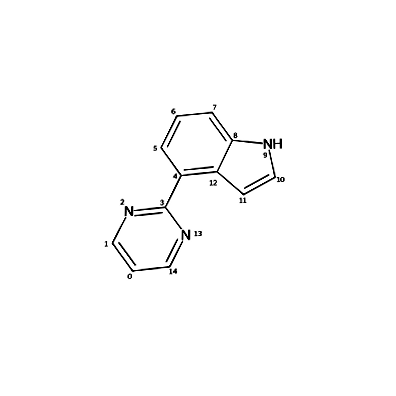 c1cnc(-c2cccc3[nH]ccc23)nc1